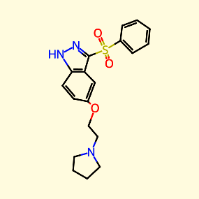 O=S(=O)(c1ccccc1)c1n[nH]c2ccc(OCCN3CCCC3)cc12